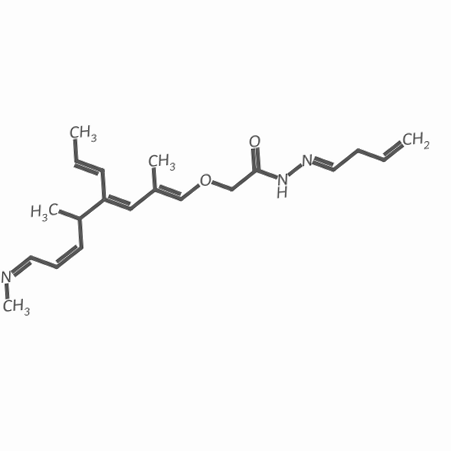 C=CC/C=N/NC(=O)CO/C=C(C)/C=C(\C=C\C)C(C)/C=C\C=N/C